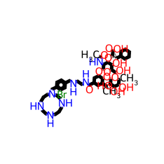 CCC1CC(C(=O)NCCNCc2ccc(CN3CCCNCCNCCCNCC3)c(Br)c2)CC(OC2OC(CO)C(O)C(O[C@@H](CC3CCCCC3)C(=O)O)C2NC(C)=O)C1OC1OC(C)C(O)C(O)C1O